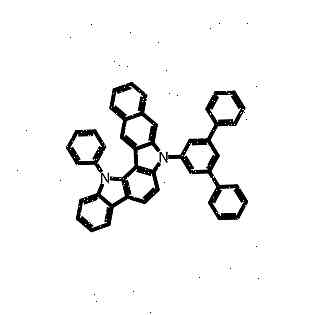 c1ccc(-c2cc(-c3ccccc3)cc(-n3c4cc5ccccc5cc4c4c3ccc3c5ccccc5n(-c5ccccc5)c34)c2)cc1